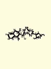 Cc1nn(C)cc1-c1nn2c([C@H](C)c3c(F)cc4ncccc4c3F)nnc2s1